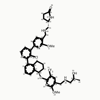 COc1nc(-c2ccnc(-c3cccc4c3CCC[C@H]4Oc3nc(OC)c(CNC[C@H](C)O)cc3C(F)(F)F)c2Cl)ccc1CNC[C@@H]1CCC(=O)N1